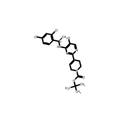 C[C@@H](Nc1nc(C2=CCN(C(=O)OC(C)(C)C)CC2)ncc1Cl)c1ccc(Cl)cc1Cl